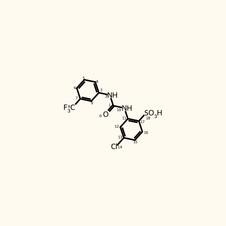 O=C(Nc1cccc(C(F)(F)F)c1)Nc1cc(Cl)ccc1S(=O)(=O)O